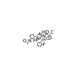 O=C(O)/C(=C/c1ccco1)Nc1ncc(-c2cccc([N+](=O)[O-])c2F)nc1Cc1c(F)cccc1F